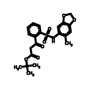 Cc1cc2c(cc1NS(=O)(=O)c1ccccc1C(=O)CC(=O)OC(C)(C)C)OCO2